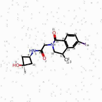 C[C@]1(O)C[C@@H](NC(=O)CN2CC(C(F)(F)F)c3cc(I)ccc3C2=O)C1